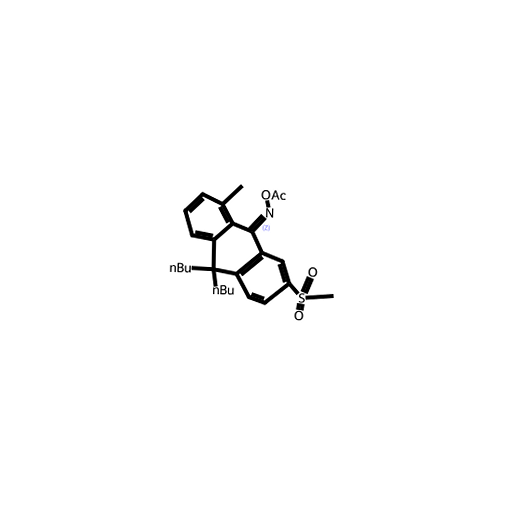 CCCCC1(CCCC)c2ccc(S(C)(=O)=O)cc2/C(=N/OC(C)=O)c2c(C)cccc21